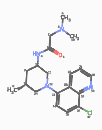 C[C@H]1C[C@@H](NC(=O)CN(C)C)CN(c2ccc(Cl)c3ncccc23)C1